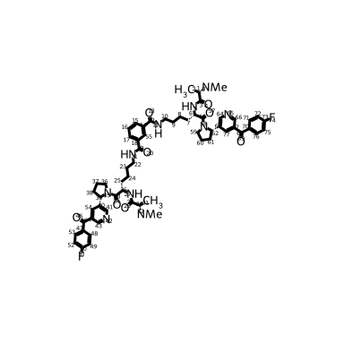 CN[C@@H](C)C(=O)N[C@@H](CCCCNC(=O)c1cccc(C(=O)NCCCC[C@H](NC(=O)[C@H](C)NC)C(=O)N2CCC[C@H]2c2cncc(C(=O)c3ccc(F)cc3)c2)c1)C(=O)N1CCC[C@H]1c1cncc(C(=O)c2ccc(F)cc2)c1